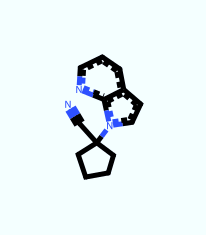 N#CC1(n2ccc3cccnc32)CCCC1